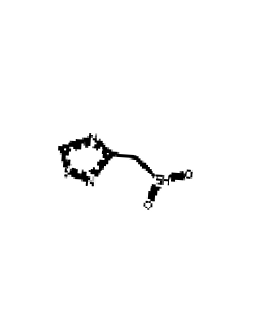 O=[SH](=O)Cc1ncsn1